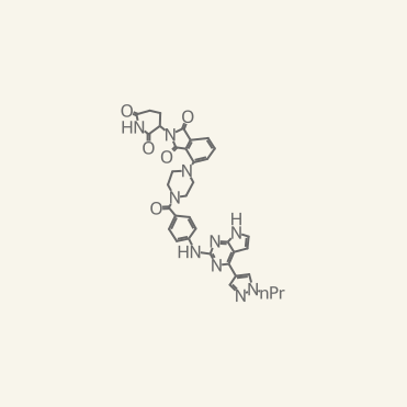 CCCn1cc(-c2nc(Nc3ccc(C(=O)N4CCN(c5cccc6c5C(=O)N(C5CCC(=O)NC5=O)C6=O)CC4)cc3)nc3[nH]ccc23)cn1